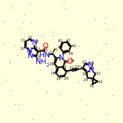 C[C@H](NC(=O)c1c(N)nn2cccnc12)c1cc2cccc(C#Cc3cnn4c3CC3(CC3)C4)c2c(=O)n1-c1ccccc1